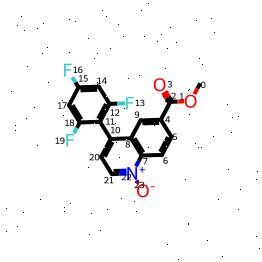 COC(=O)c1ccc2c(c1)c(-c1c(F)cc(F)cc1F)cc[n+]2[O-]